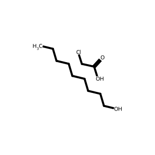 CCCCCCCCCO.O=C(O)CCl